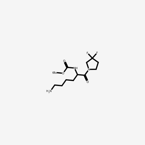 CC(C)(C)OC(=O)NC(CCCCN)C(=O)N1CCC(F)(F)C1